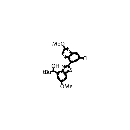 COc1cc(C(O)C(C)(C)C)c2nc(-c3cc(Cl)cc4nc(OC)cnc34)sc2c1